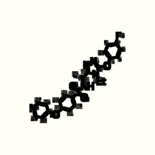 CCn1c(Oc2ccc(F)cc2)nnc1[C@@H](C)NS(=O)(=O)c1ccc(Oc2ccncc2)cc1